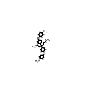 CCCCC(CCC)(c1ccc(Oc2ccc(N)cc2)cc1)c1ccc(Oc2ccc(N)cc2)cc1